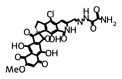 COC1=CC(=O)c2c(O)c3c(c(O)c2C1=O)C(=O)[C@]1(CCc2c1c(O)c1c(=O)[nH]c(C=NNC(=O)C(N)=O)cc1c2Cl)C3=O